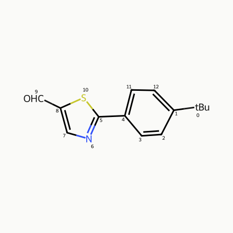 CC(C)(C)c1ccc(-c2ncc(C=O)s2)cc1